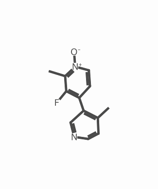 Cc1ccncc1-c1cc[n+]([O-])c(C)c1F